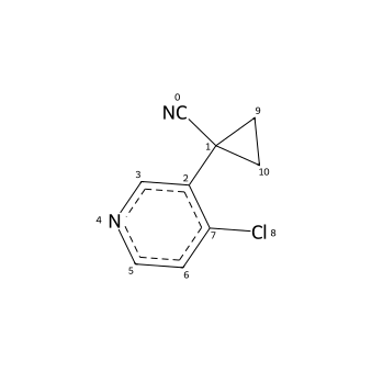 N#CC1(c2cnccc2Cl)CC1